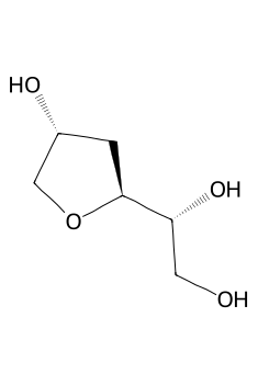 OC[C@@H](O)[C@@H]1C[C@@H](O)CO1